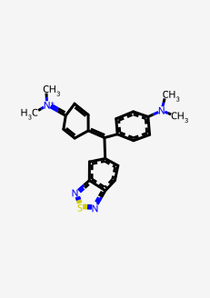 CN(C)c1ccc(C(=C2C=CC(=[N+](C)C)C=C2)c2ccc3nsnc3c2)cc1